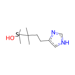 CC(C)(CCc1c[nH]cn1)[Si](C)(C)O